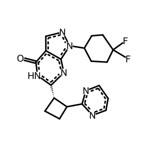 O=c1[nH]c([C@H]2CCC2c2ncccn2)nc2c1cnn2C1CCC(F)(F)CC1